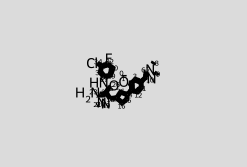 COc1cc(-c2cn(C)cn2)ccc1C1CCC(c2nn(C)c(N)c2C(=O)Nc2ccc(F)c(Cl)c2)C1